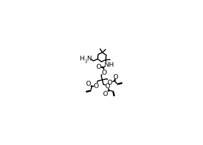 C=CC(=O)OCC(COC(=O)C=C)(COC(=O)C=C)COC(=O)NC1(C)CC(CN)CC(C)(C)C1